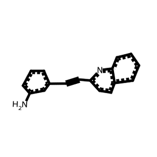 Nc1cccc(C#Cc2ccc3ccccc3n2)c1